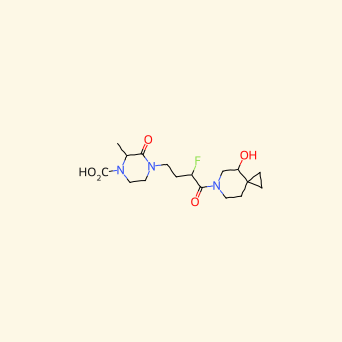 CC1C(=O)N(CCC(F)C(=O)N2CCC3(CC3)C(O)C2)CCN1C(=O)O